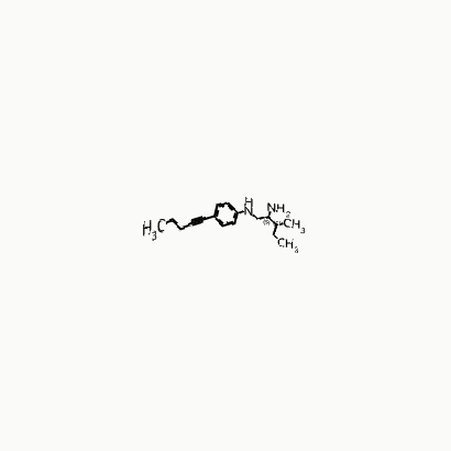 CCCC#Cc1ccc(NC[C@@H](N)[C@@H](C)CC)cc1